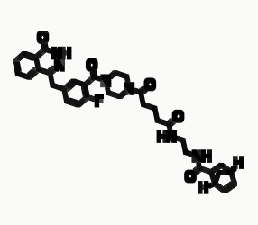 O=C(CCCC(=O)N1CCN(C(=O)c2cc(Cc3n[nH]c(=O)c4ccccc34)ccc2F)CC1)NCCNC(=O)C1C[C@@H]2C=C[C@H]1C2